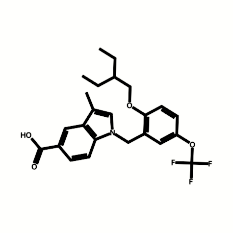 CCC(CC)COc1ccc(OC(F)(F)F)cc1Cn1cc(C)c2cc(C(=O)O)ccc21